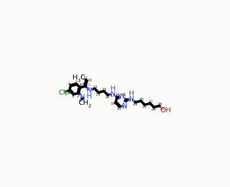 C=Nc1cc(Cl)ccc1/C(=C\C)NCCCCNc1ccnc(NCCCCCCO)n1